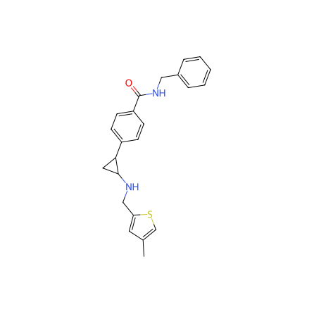 Cc1csc(CNC2CC2c2ccc(C(=O)NCc3ccccc3)cc2)c1